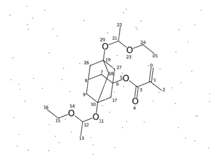 C=C(C)C(=O)OC12CC3CC(OC(C)OCC)(C1)CC(OC(C)OCC)(C3)C2